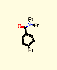 [CH2]Cc1ccc(C(=O)N(CC)CC)cc1